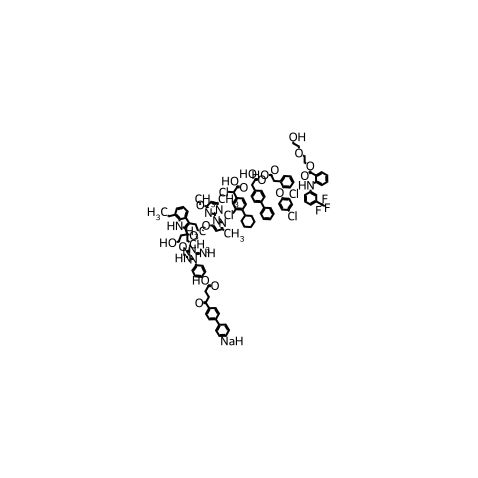 CCc1cccc2c3c([nH]c12)C(CC)(CC(=O)O)OCC3.COc1cc(C)nc(-n2nc(C)cc2OC)n1.N=c1nn[nH]n1-c1ccccc1.O=C(O)C(Cl)c1ccc(C2CCCCC2)c(Cl)c1.O=C(O)CCC(=O)c1ccc(-c2ccccc2)cc1.O=C(O)Cc1ccc(-c2ccccc2)cc1.O=C(O)Cc1ccccc1Oc1ccc(Cl)cc1Cl.O=C(OCCOCCO)c1ccccc1Nc1cccc(C(F)(F)F)c1.[NaH]